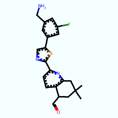 CC1(C)Cc2nc(-c3ncc(-c4cc(F)cc(CN)c4)s3)ccc2C(C=O)C1